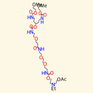 CCN(CCOC(C)=O)CCOC(=O)NCCOCCOCCNC(=O)CCOCCNC(=O)OC(CCNC(=O)OCCOC)CCNC(=O)OCCOC